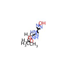 C[C@H](NC(=O)OC(C)(C)C)c1ncc(-c2cnc(O)nc2)[nH]1